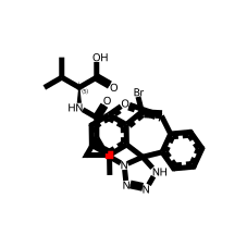 Cc1ccc2oc3c(Br)c2c1C1(NN=NN1C1CC1C(=O)N[C@H](C(=O)O)C(C)C)c1ccccc1-3